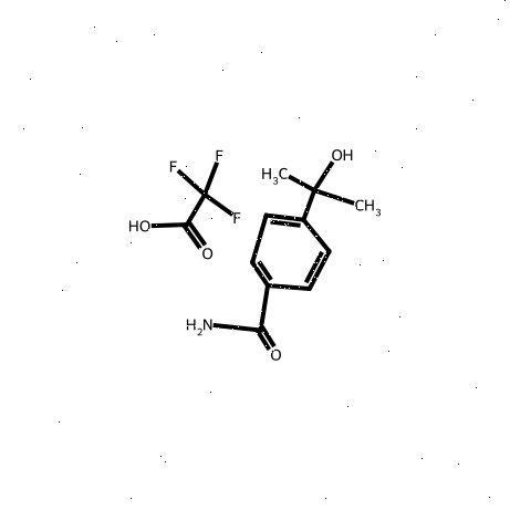 CC(C)(O)c1ccc(C(N)=O)cc1.O=C(O)C(F)(F)F